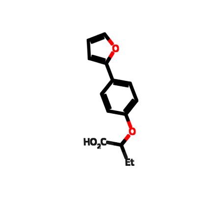 CCC(Oc1ccc(-c2ccco2)cc1)C(=O)O